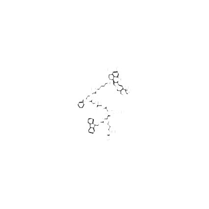 CC[C@@]1(O)C(=O)OCc2c1cc1n(c2=O)Cc2c-1nc1cc(F)c(C)c3c1c2[C@@H](NC(=O)CCCNC(=O)CNC(=O)[C@H](Cc1ccccc1)NC(=O)CNC(=O)CNC(=O)[C@H](CC(=O)O)NC(=O)[C@H](CCCCNC(=O)OC(C)(C)C)NC(=O)OCC1c2ccccc2-c2ccccc21)CC3